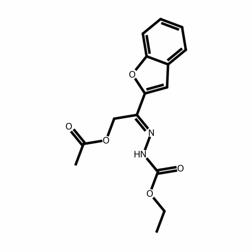 CCOC(=O)NN=C(COC(C)=O)c1cc2ccccc2o1